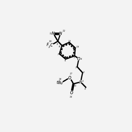 CN(CCOc1ccc(C2(C(F)(F)F)N=N2)cc1)C(=O)OC(C)(C)C